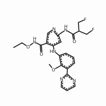 CCONC(=O)c1cnc(NC(=O)C(CF)CF)cc1Nc1cccc(-c2ncccn2)c1OC